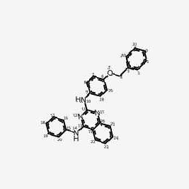 c1ccc(COc2ccc(Nc3nc(Nc4ccccc4)c4ccccc4n3)cc2)cc1